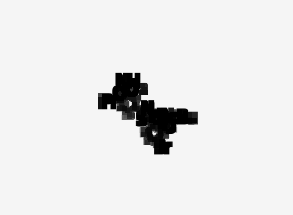 CC(C)C1(OC(N)=O)CCC(c2ncc(-c3ccc(Br)cc3S(=O)(=O)NC(C)(C)C)s2)CC1